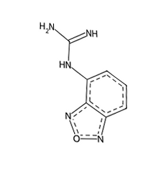 N=C(N)Nc1cccc2nonc12